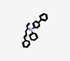 C=CC(C/C=C/C1C=CC=CC1)N(C1=CCCC=C1)c1ccc(-c2ccccc2)cc1